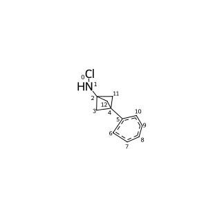 ClNC12CC(c3ccccc3)(C1)C2